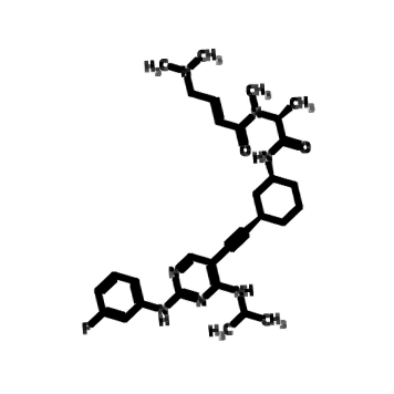 CC(C)Nc1nc(Nc2cccc(F)c2)ncc1C#C[C@@H]1CCC[C@H](NC(=O)[C@H](C)N(C)C(=O)/C=C/CN(C)C)C1